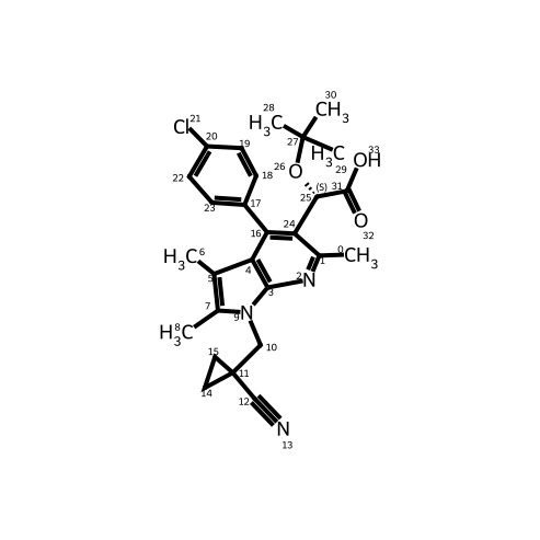 Cc1nc2c(c(C)c(C)n2CC2(C#N)CC2)c(-c2ccc(Cl)cc2)c1[C@H](OC(C)(C)C)C(=O)O